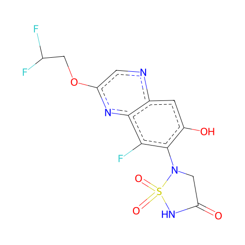 O=C1CN(c2c(O)cc3ncc(OCC(F)F)nc3c2F)S(=O)(=O)N1